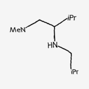 CNCC(NCC(C)C)C(C)C